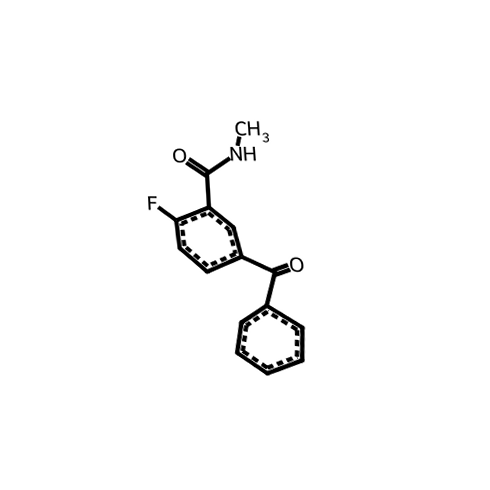 CNC(=O)c1cc(C(=O)c2ccccc2)ccc1F